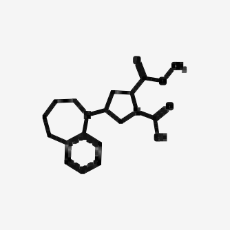 COC(=O)C1CC(N2CCCCc3ccccc32)CN1C(=O)O